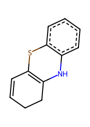 C1=CC2=C(CC1)Nc1ccccc1S2